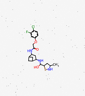 CC1CC(C(O)NC2CC(NC(=O)COc3ccc(Cl)c(F)c3)C3CC2C3)SN1